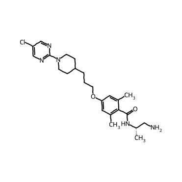 Cc1cc(OCCCC2CCN(c3ncc(Cl)cn3)CC2)cc(C)c1C(=O)N[C@@H](C)CN